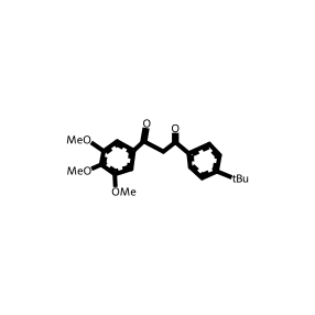 COc1cc(C(=O)CC(=O)c2ccc(C(C)(C)C)cc2)cc(OC)c1OC